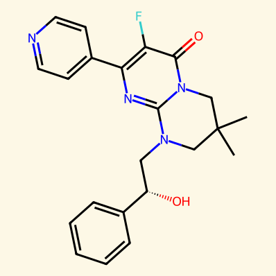 CC1(C)CN(C[C@H](O)c2ccccc2)c2nc(-c3ccncc3)c(F)c(=O)n2C1